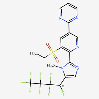 CCS(=O)(=O)c1cc(-c2ncccn2)cnc1-c1ncc([C@@H](F)C(F)(F)C(F)(F)C(F)(F)F)n1C